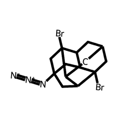 [N-]=[N+]=NC12CC3C4CC5CC(C(C1)C3(Br)C5)C4(Br)C2